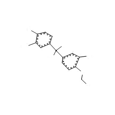 CCOc1ccc(C(C)(C)c2ccc(O)c(C)c2)cc1C